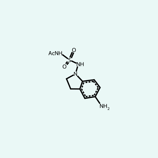 CC(=O)NS(=O)(=O)NN1CCc2cc(N)ccc21